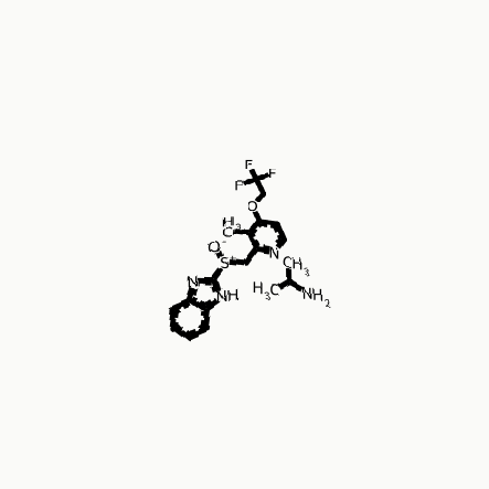 CC(C)N.Cc1c(OCC(F)(F)F)ccnc1C[S+]([O-])c1nc2ccccc2[nH]1